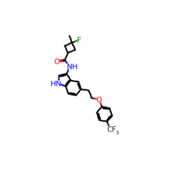 CC1(F)CC(C(=O)Nc2c[nH]c3ccc(CCOc4ccc(C(F)(F)F)cc4)cc23)C1